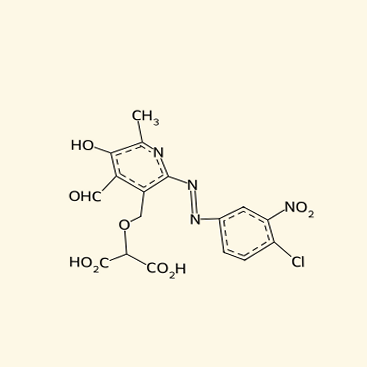 Cc1nc(/N=N/c2ccc(Cl)c([N+](=O)[O-])c2)c(COC(C(=O)O)C(=O)O)c(C=O)c1O